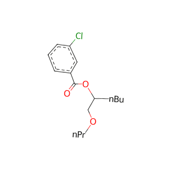 CCCCC(COCCC)OC(=O)c1cccc(Cl)c1